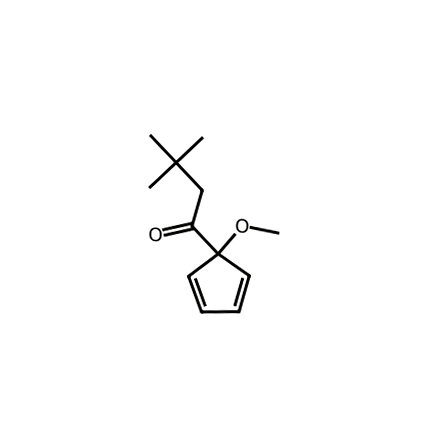 COC1(C(=O)CC(C)(C)C)C=CC=C1